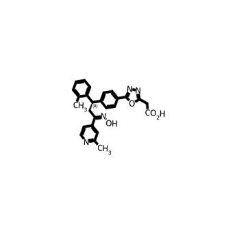 Cc1cc(C(C[C@H](c2ccc(-c3nnc(CC(=O)O)o3)cc2)c2ccccc2C)=NO)ccn1